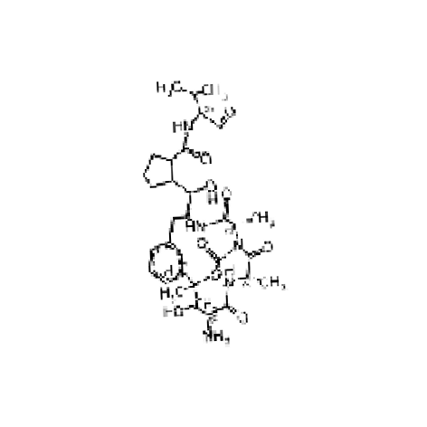 CC(C)[C@@H]([C]=O)NC(=O)C1CCCC1C(O)C(Cc1ccccc1)NC(=O)[C@H](C)N(C(=O)OC(C)(C)C)C(=O)[C@H](C)NC(=O)[C@@H](N)CO